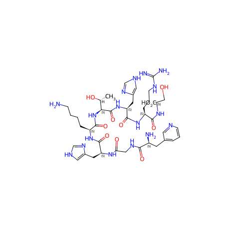 C[C@@H](O)[C@H](NC(=O)[C@H](CCCCN)NC(=O)[C@H](Cc1c[nH]cn1)NC(=O)CNC(=O)[C@@H](N)Cc1cccnc1)C(=O)N[C@@H](Cc1c[nH]cn1)C(=O)N[C@@H](CCCNC(=N)N)C(=O)N[C@@H](CO)C(=O)O